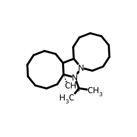 CC(C)N1N2CCCCCCCCC2C2CCCCCCCC[C@@]21C